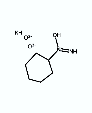 N=[N+](O)C1CCCCC1.[KH].[O-2].[O-2]